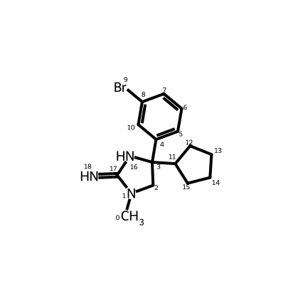 CN1CC(c2cccc(Br)c2)(C2CCCC2)NC1=N